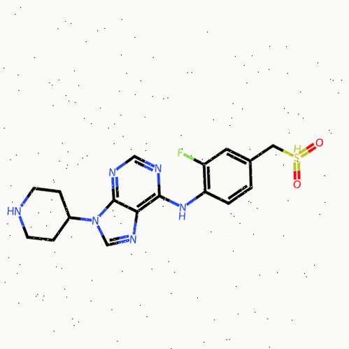 O=[SH](=O)Cc1ccc(Nc2ncnc3c2ncn3C2CCNCC2)c(F)c1